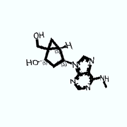 CNc1ncnc2c1ncn2[C@H]1C[C@H](O)C2(CO)C[C@H]12